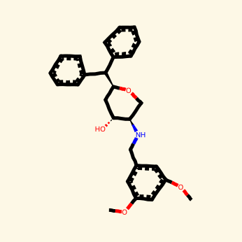 COc1cc(CN[C@@H]2CO[C@H](C(c3ccccc3)c3ccccc3)C[C@H]2O)cc(OC)c1